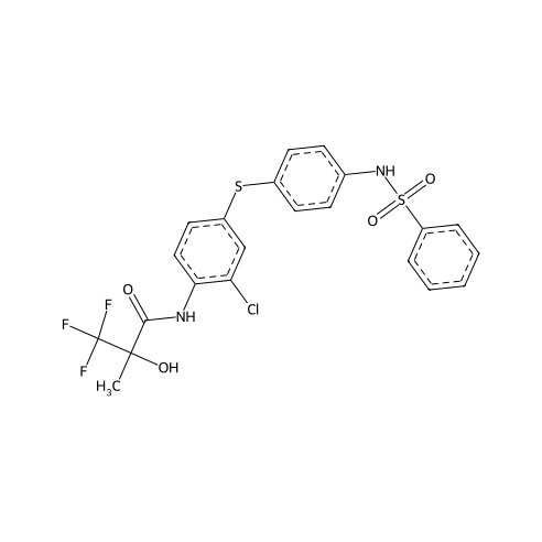 CC(O)(C(=O)Nc1ccc(Sc2ccc(NS(=O)(=O)c3ccccc3)cc2)cc1Cl)C(F)(F)F